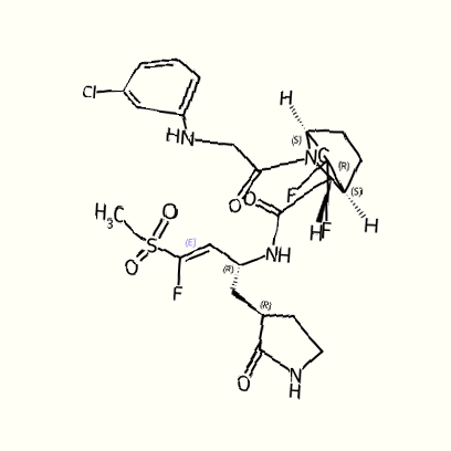 CS(=O)(=O)/C(F)=C/[C@@H](C[C@H]1CCNC1=O)NC(=O)[C@H]1[C@@H]2CC[C@@H](CC2(F)F)N1C(=O)CNc1cccc(Cl)c1